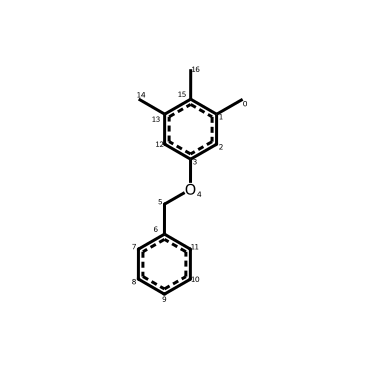 Cc1cc(OCc2ccccc2)cc(C)c1C